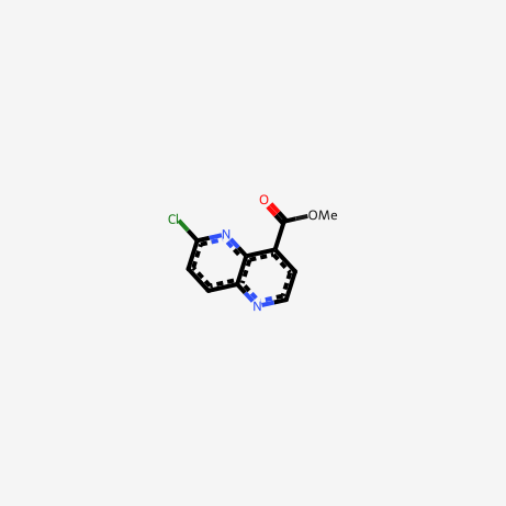 COC(=O)c1ccnc2ccc(Cl)nc12